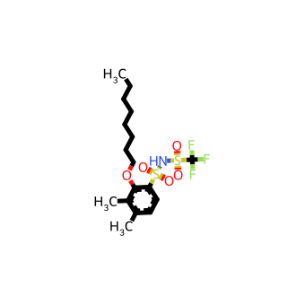 CCCCCCCCOc1c(S(=O)(=O)NS(=O)(=O)C(F)(F)F)ccc(C)c1C